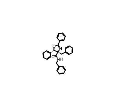 O=C(NCc1ccccc1)[C@@]1(Cc2ccccc2)N=C(c2ccccc2)O[C@H]1c1ccccc1